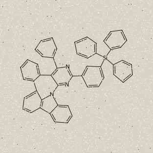 c1ccc(-c2nc(-c3cccc([Si](c4ccccc4)(c4ccccc4)c4ccccc4)c3)nc3c2-c2ccccc2-c2cccc4c5ccccc5n-3c24)cc1